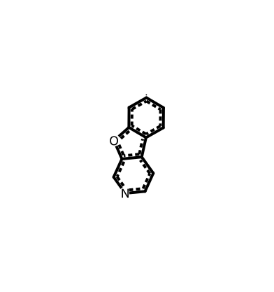 [c]1ccc2c(c1)oc1cnccc12